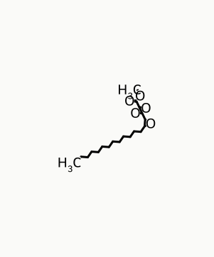 CCCCCCCCCCCCCC1OC1C12OC1(C(=O)OC)O2